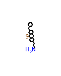 NCCCc1ccc2c(c1)Cc1ccc(Cc3ccccc3)cc1C2=S